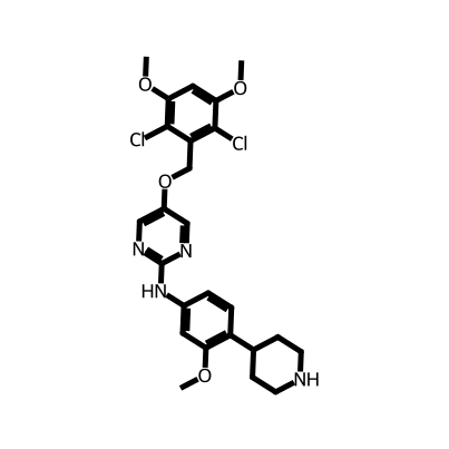 COc1cc(Nc2ncc(OCc3c(Cl)c(OC)cc(OC)c3Cl)cn2)ccc1C1CCNCC1